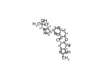 Cc1nc2ccc(Oc3ccc4ncc(-c5cnn(CC(C)(O)C(F)(F)F)c5)nc4c3Cl)c(F)c2[nH]1